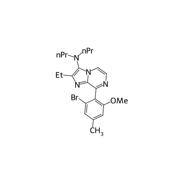 CCCN(CCC)c1c(CC)nc2c(-c3c(Br)cc(C)cc3OC)nccn12